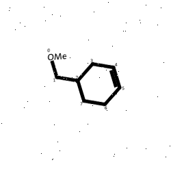 COCC1CC=CCC1